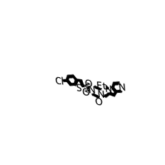 CCn1c(CN2CCN(S(=O)(=O)c3cc4ccc(Cl)cc4s3)CC2=O)cc2cnccc21